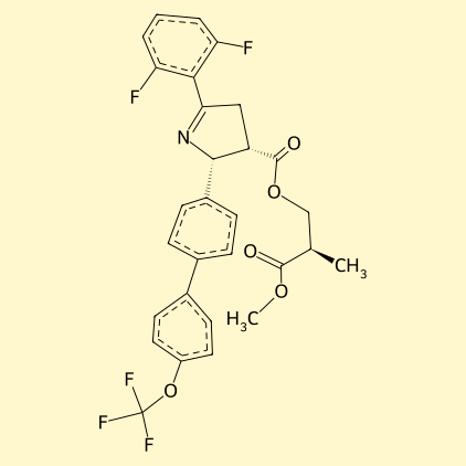 COC(=O)[C@H](C)COC(=O)[C@H]1CC(c2c(F)cccc2F)=N[C@H]1c1ccc(-c2ccc(OC(F)(F)F)cc2)cc1